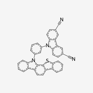 N#Cc1ccc2c(c1)c1cc(C#N)ccc1n2-c1cccc(-n2c3ccccc3c3ccc4c5ccccc5sc4c32)c1